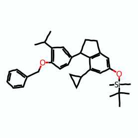 CC(C)c1cc(C2CCc3cc(O[Si](C)(C)C(C)(C)C)cc(C4CC4)c32)ccc1OCc1ccccc1